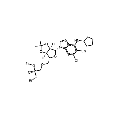 CCOP(=O)(COC[C@H]1O[C@@H](n2ccc3c(NC4CCCC4)c(C#N)c(Cl)nc32)[C@@H]2OC(C)(C)O[C@@H]21)OCC